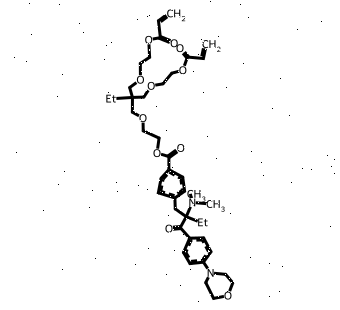 C=CC(=O)OCCOCC(CC)(COCCOC(=O)C=C)COCCOC(=O)c1ccc(CC(CC)(C(=O)c2ccc(N3CCOCC3)cc2)N(C)C)cc1